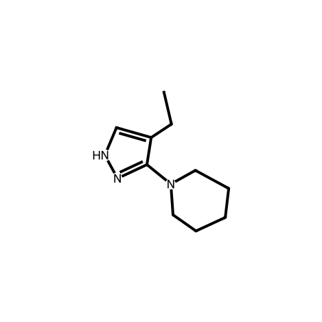 CCc1c[nH]nc1N1CCCCC1